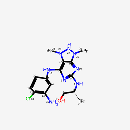 CC(C)[C@H](CO)Nc1nc(Nc2ccc(Cl)c(N)c2)c2c(n1)N(C(C)C)NN2C(C)C